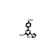 COc1ccc(-c2nc(SC)c(C#N)c(-n3ccnc3)n2)cc1